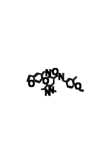 C=COc1ccc(CN(C)C(=O)C(Cc2cc(C)nn2C)C(=O)N(C)Cc2ccc3occc3c2)cc1C